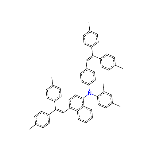 Cc1ccc(C(=Cc2ccc(N(c3ccc(C)cc3C)c3ccc(C=C(c4ccc(C)cc4)c4ccc(C)cc4)c4ccccc34)cc2)c2ccc(C)cc2)cc1